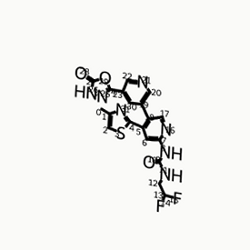 Cc1csc(-c2cc(NC(=O)NCC(F)F)ncc2-c2cncc(-c3n[nH]c(=O)o3)c2)n1